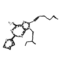 CCCCC#Cc1nc2c(N)nc(-c3ccco3)nc2n1CC(C)CC